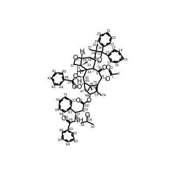 CC(=O)O[C@H]1C(=O)[C@]2(C)[C@@H](OC(c3ccccc3)(c3ccccc3)C(C)(C)C)C[C@H]3OC[C@@]3(C)[C@H]2[C@H](OC(=O)c2ccccc2)[C@]2(O)C[C@H](OC(=O)[C@H](OC(C)C)[C@@H](NC(=O)c3ccccc3)c3ccccc3)C(C)=C1C2(C)C